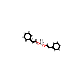 B(OC=CC1CCCCC1)OC=CC1CCCCC1